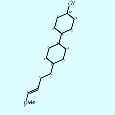 CO/C=C/CCC1CCC(C2CCC(C#N)CC2)CC1